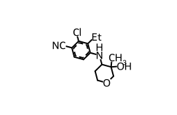 CCc1c(NC2CCOCC2(C)O)ccc(C#N)c1Cl